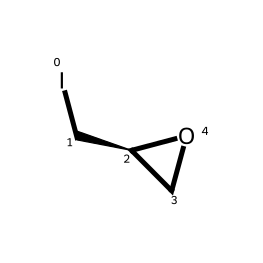 IC[C@@H]1CO1